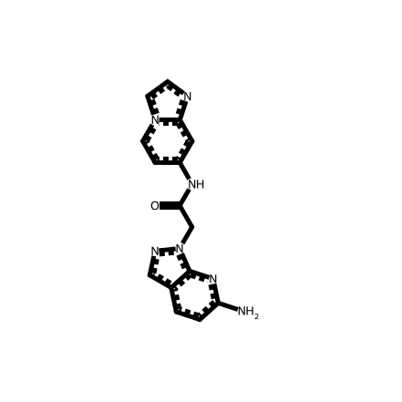 Nc1ccc2cnn(CC(=O)Nc3ccn4ccnc4c3)c2n1